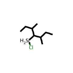 CCC(C)C([SiH2]Cl)C(C)CC